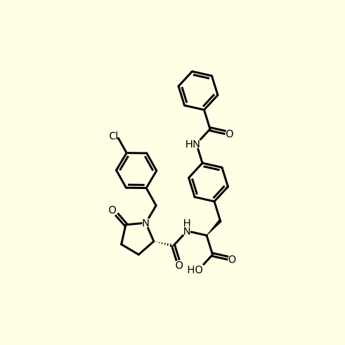 O=C(Nc1ccc(C[C@H](NC(=O)[C@@H]2CCC(=O)N2Cc2ccc(Cl)cc2)C(=O)O)cc1)c1ccccc1